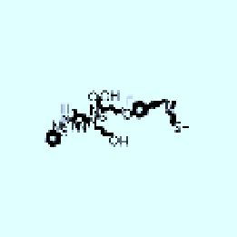 Cc1cc(N(CCCCO)c2nc(C(=O)O)c(CCCOc3ccc(C#CCN(C)CCCS)cc3F)s2)nnc1Nc1nc2ccccc2s1